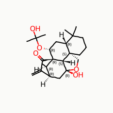 C=C1C(=O)[C@@]23[C@H](C)[C@H]1C[C@@]1(O)OC[C@]4(CCCC(C)(C)[C@H]4C[C@H]2OC(C)(C)O)[C@@H]31